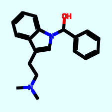 CN(C)CCc1cn(C(O)c2ccccc2)c2ccccc12